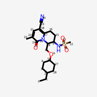 CCC1CCC(OCC2C(NS(C)(=O)=O)CCc3c(C#N)cc(C)c(=O)n32)CC1